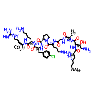 CNCCCC[C@H](N)C(=O)N[C@H](C(=O)N[C@@H](C)C(=O)NCC(=O)/N=C(\CCCN)C(=O)N1CCC[C@H]1C(=O)N[C@@H](Cc1ccc(Cl)cc1)C(=O)N[C@@H](CCCCN)C(=O)N/C(=C\CCNC(=N)N)C(=O)O)[C@@H](O)CN